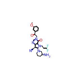 COc1cccc(C(=O)Cn2cnc3c(C#N)c(N4CCC[C@H](N)C4)n(CC=C(F)F)c3c2=O)c1